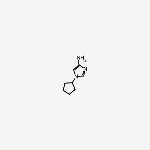 Nc1cn(C2CCCC2)cn1